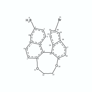 Bc1ccc2c3c(ccc2c1)OCCOc1ccc2cc(Br)ccc2c1-3